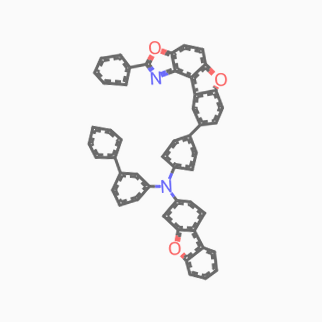 c1ccc(-c2cccc(N(c3ccc(-c4ccc5oc6ccc7oc(-c8ccccc8)nc7c6c5c4)cc3)c3ccc4c(c3)oc3ccccc34)c2)cc1